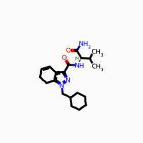 CC(C)[C@H](NC(=O)c1nn(CC2CCCCC2)c2c1C=CCC2)C(N)=O